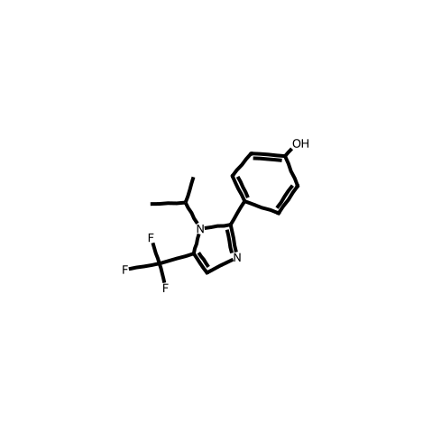 CC(C)n1c(C(F)(F)F)cnc1-c1ccc(O)cc1